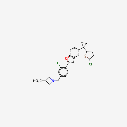 O=C(O)C1CN(Cc2ccc(-c3cc4cc(C5(C6=CCC(Cl)S6)CC5)ccc4o3)c(F)c2)C1